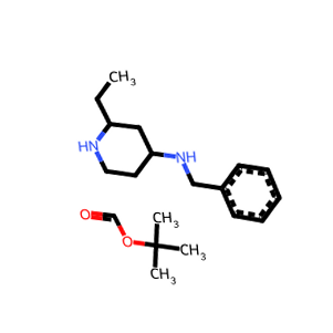 CC(C)(C)OC=O.CCC1CC(NCc2ccccc2)CCN1